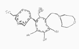 CCCCc1c(O)c(CCCC)c(-c2ccc(C(F)(F)F)nc2)c(CCCC)c1CN1CCOCC1